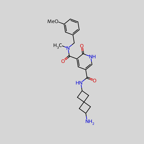 COc1cccc(CN(C)C(=O)c2cc(C(=O)NC3CC4(CC(N)C4)C3)c[nH]c2=O)c1